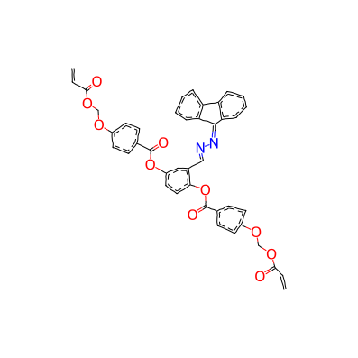 C=CC(=O)OCOc1ccc(C(=O)Oc2ccc(OC(=O)c3ccc(OCOC(=O)C=C)cc3)c(/C=N/N=C3c4ccccc4-c4ccccc43)c2)cc1